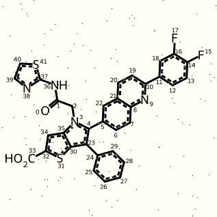 O=C(Cn1c(-c2ccc3nc(-c4ccc(F)c(F)c4)ccc3c2)c(-c2ccccc2)c2sc(C(=O)O)cc21)Nc1nccs1